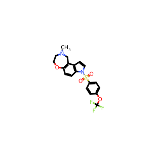 CN1CCOc2ccc3c(ccn3S(=O)(=O)c3ccc(OC(F)(F)F)cc3)c2C1